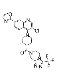 C[C@@H]1CN(c2c(Cl)cnc3cc(-c4ncco4)ccc23)CC[C@@H]1C(=O)N1CCn2c(nnc2C(F)(F)F)C1